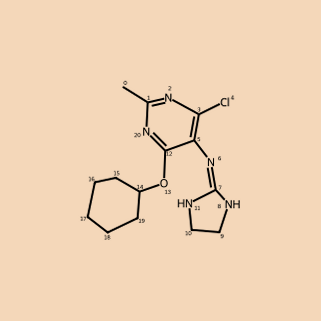 Cc1nc(Cl)c(N=C2NCCN2)c(OC2CCCCC2)n1